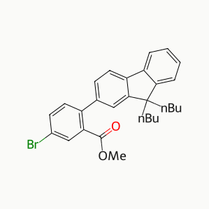 CCCCC1(CCCC)c2ccccc2-c2ccc(-c3ccc(Br)cc3C(=O)OC)cc21